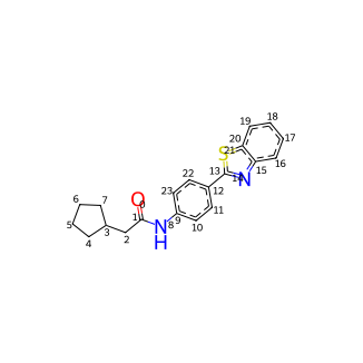 O=C(CC1CCCC1)Nc1ccc(-c2nc3ccccc3s2)cc1